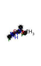 Cc1ccc(F)c(OCC(c2ccccc2)N2CCC(NC(=O)c3cnc(-c4cccc(F)c4)nc3)CC2)c1